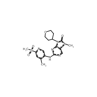 Cc1cc(S(C)(=O)=O)ncc1Nc1ncc2c(n1)n(C1CCOCC1)c(=O)n2C